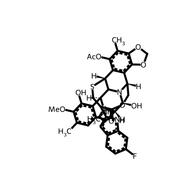 COc1c(C)cc2c(c1O)[C@H]1C3[C@@H]4SC[C@]5(NCCc6c5[nH]c5cc(F)ccc65)C(=O)OC[C@@H](c5c6c(c(C)c(OC(C)=O)c54)OCO6)N3[C@@H](O)[C@H](C2)N1C